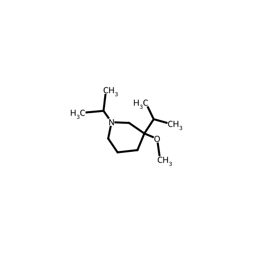 COC1(C(C)C)CCCN(C(C)C)C1